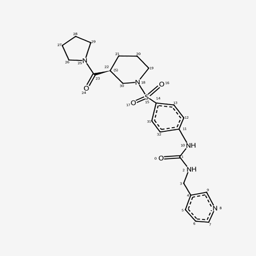 O=C(NCc1cccnc1)Nc1ccc(S(=O)(=O)N2CCC[C@H](C(=O)N3CCCC3)C2)cc1